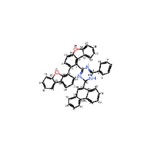 c1ccc(C2=NC(c3c(-c4cccc5c4oc4ccccc45)ccc4oc5ccccc5c34)=NC(c3cc4ccccc4c4ccccc34)N2)cc1